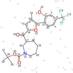 COc1cc(C(F)(F)F)ccc1-c1oc(C(=O)C2CCCCN(C(=O)OC(C)(C)C)C2)cc1C